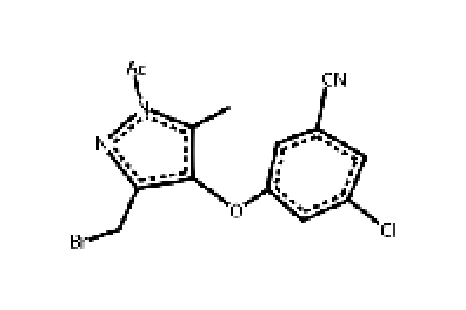 CC(=O)n1nc(CBr)c(Oc2cc(Cl)cc(C#N)c2)c1C